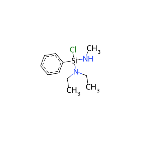 CCN(CC)[Si](Cl)(NC)c1ccccc1